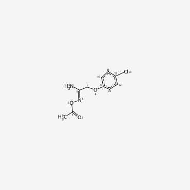 CC(=O)ON=C(N)COc1ccc(Cl)cc1